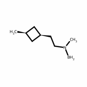 BN(C)CC[C@H]1C[C@@H](C)C1